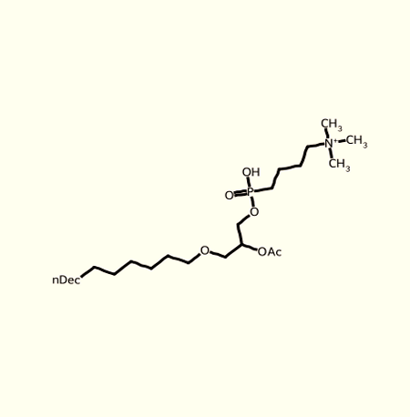 CCCCCCCCCCCCCCCCOCC(COP(=O)(O)CCCC[N+](C)(C)C)OC(C)=O